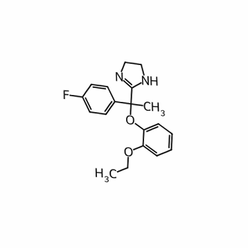 CCOc1ccccc1OC(C)(C1=NCCN1)c1ccc(F)cc1